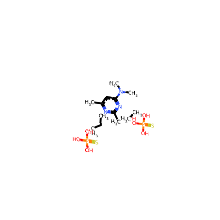 CC.CCC.Cc1cc(N(C)C)nc(C)n1.OP(O)(O)=S.OP(O)(O)=S